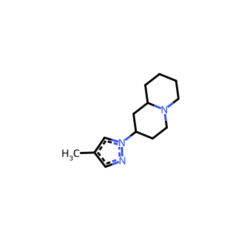 Cc1cnn(C2CCN3CCCCC3C2)c1